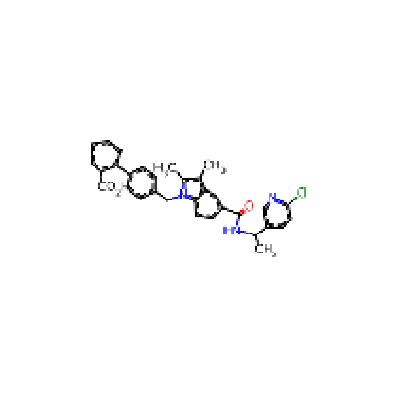 Cc1c(C)n(Cc2ccc(-c3ccccc3C(=O)O)cc2)c2ccc(C(=O)NC(C)c3ccc(Cl)nc3)cc12